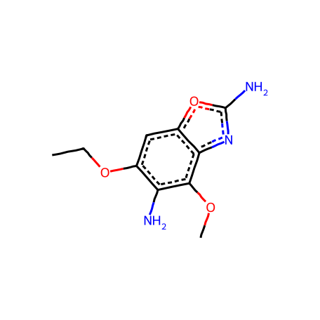 CCOc1cc2oc(N)nc2c(OC)c1N